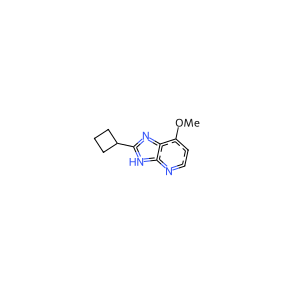 COc1ccnc2[nH]c(C3CCC3)nc12